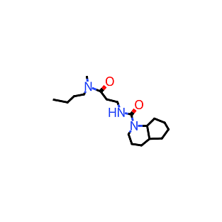 CCCCN(C)C(=O)CCNC(=O)N1CCCC2CCCCC21